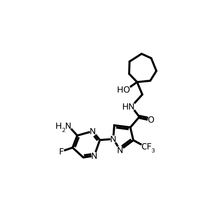 Nc1nc(-n2cc(C(=O)NCC3(O)CCCCCC3)c(C(F)(F)F)n2)ncc1F